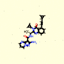 C[C@@H](NC(=O)c1c(N)nn2cccnc12)c1nc2cccc(C#CC3CC3)c2c(=O)n1C1CC1